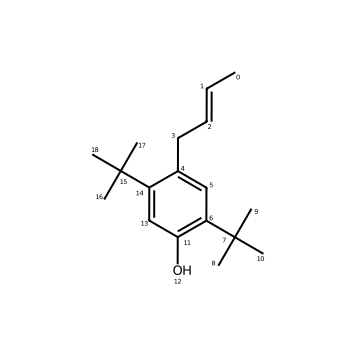 CC=CCc1cc(C(C)(C)C)c(O)cc1C(C)(C)C